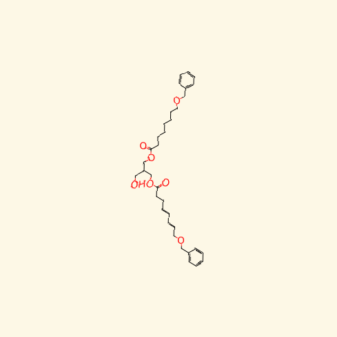 O=C(CCCCCCCOCc1ccccc1)OCC(CO)COC(=O)CCCCCCCOCc1ccccc1